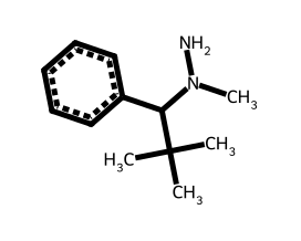 CN(N)C(c1ccccc1)C(C)(C)C